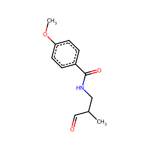 COc1ccc(C(=O)NCC(C)C=O)cc1